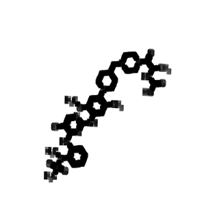 COc1cc(N2CCC(CN3CCN(C(=O)C(C)NC(=O)O)CC3)CC2)c(C)cc1Nc1ncc(Cl)c(Nc2ccccc2N(C)S(C)(=O)=O)n1